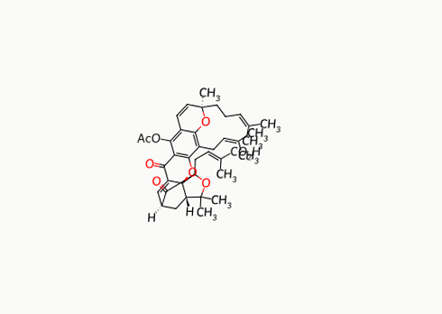 CC(=O)Oc1c2c(c(CC=C(C)C)c3c1C(=O)C1=C[C@@H]4C[C@H]5C(C)(C)OC(C/C=C(\C)C(=O)O)(C4=O)[C@@]15O3)O[C@](C)(CCC=C(C)C)C=C2